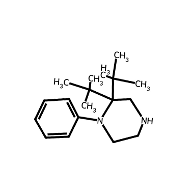 CC(C)(C)C1(C(C)(C)C)CNCCN1c1ccccc1